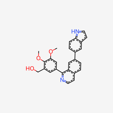 COc1cc(-c2nccc3ccc(-c4ccc5[nH]ccc5c4)cc23)cc(CO)c1OC